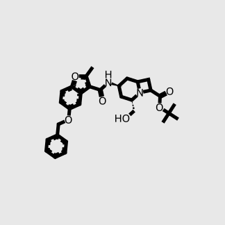 Cc1oc2ccc(OCc3ccccc3)cc2c1C(=O)N[C@H]1CC2CC(C(=O)OC(C)(C)C)N2[C@H](CO)C1